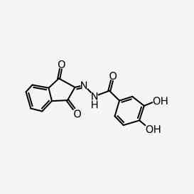 O=C(NN=c1c(=O)c2ccccc2c1=O)c1ccc(O)c(O)c1